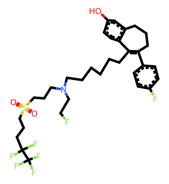 O=S(=O)(CCCN(CCF)CCCCCCC1=C(c2ccc(F)cc2)CCCc2cc(O)ccc21)CCCC(F)(F)C(F)(F)F